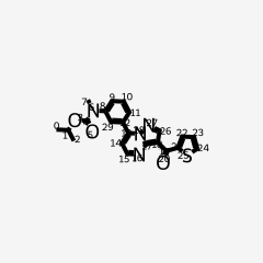 CC(C)OC(=O)N(C)c1cccc(-c2ccnc3c(C(=O)c4cccs4)cnn23)c1